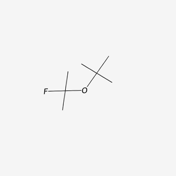 CC(C)(C)OC(C)(C)F